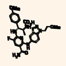 COCCn1ncc2cc(Nc3nc(N[C@H](c4ccc(OC)cc4)[C@H](C)NC(=O)O)c(F)cc3C(N)=O)ccc21